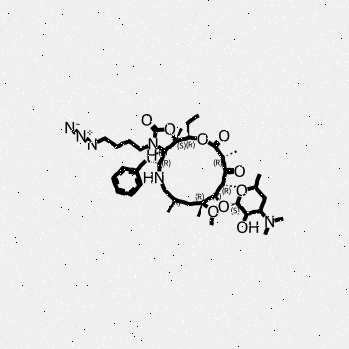 CC[C@H]1OC(=O)[C@H](C)C(=O)[C@H](C)[C@@H](O[C@@H]2OC(C)CC(N(C)C)C2O)[C@](C)(OC)C[C@@H](C)CN[C@H](Cc2ccccc2)[C@H]2N(CCCCN=[N+]=[N-])C(=O)O[C@]12C